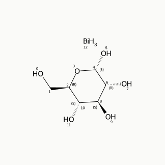 OC[C@H]1O[C@H](O)[C@H](O)[C@@H](O)[C@@H]1O.[BiH3]